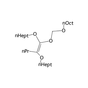 CCCCCCCCOCOC(OCCCCCCC)=C(CCC)OCCCCCCC